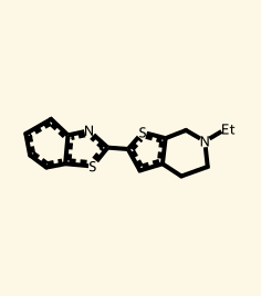 CCN1CCc2cc(-c3nc4ccccc4s3)sc2C1